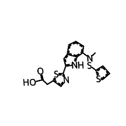 CN(Sc1cccs1)c1cccc2cc(-c3ncc(CC(=O)O)s3)[nH]c12